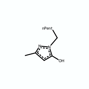 CCCCCCn1nc(C)cc1O